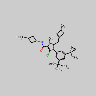 COC(C)(C)c1cc(-c2c(Cl)c(C(=O)N[C@H]3C[C@H](C(=O)O)C3)n(C)c2CC2CC(C)C2)cc(C2(C)CC2)c1